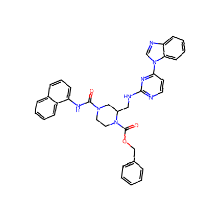 O=C(Nc1cccc2ccccc12)N1CCN(C(=O)OCc2ccccc2)C(CNc2nccc(-n3cnc4ccccc43)n2)C1